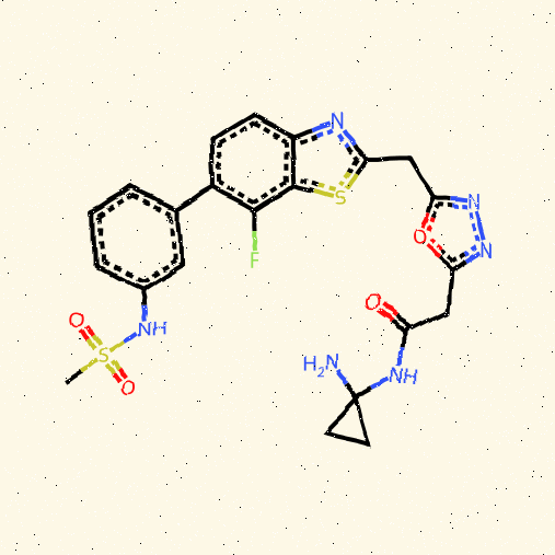 CS(=O)(=O)Nc1cccc(-c2ccc3nc(Cc4nnc(CC(=O)NC5(N)CC5)o4)sc3c2F)c1